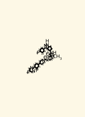 CO[C@@]1(C(=O)Nc2ccc3[nH]nc(-c4ccc(F)cc4)c3c2)CCN(CC(=O)N2CC=C(c3ccc(-c4ncc(F)cn4)c(F)c3)CC2)C1